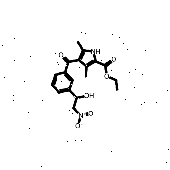 CCOC(=O)c1[nH]c(C)c(C(=O)c2cccc(C(O)C[N+](=O)[O-])c2)c1C